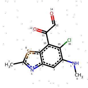 CNc1cc2nc(C)sc2c(C(=O)C=O)c1Cl